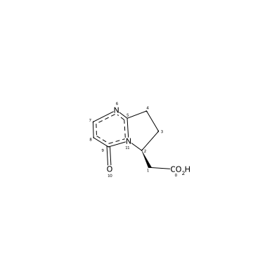 O=C(O)C[C@@H]1CCc2nccc(=O)n21